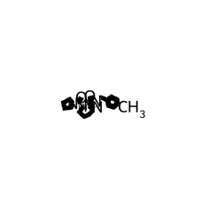 Cc1ccc(Cn2nc3n(c2=O)[C@H](C(=O)N2CCCC2)CCC3)cc1